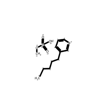 CCCCCc1cccnc1.COS(=O)(=O)O